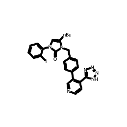 CCCCc1cn(-c2ccccc2I)c(=O)n1Cc1ccc(-c2cnccc2-c2nnn[nH]2)cc1